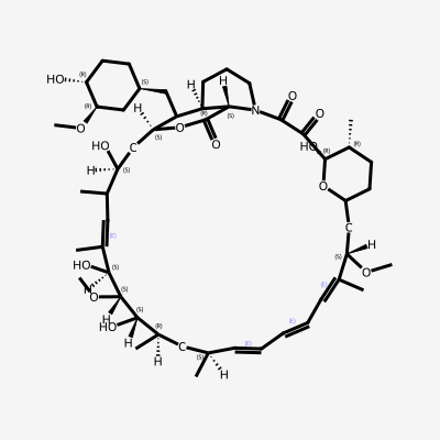 CO[C@H]1[C@@H](O)[C@H](C)C[C@H](C)/C=C/C=C/C=C(\C)[C@@H](OC)CC2CC[C@@H](C)[C@@](O)(O2)C(=O)C(=O)N2CCC[C@@H]3C(C[C@@H]4CC[C@@H](O)[C@H](OC)C4)[C@H](C[C@H](O)C(C)/C=C(\C)[C@@H]1O)OC(=O)[C@H]32